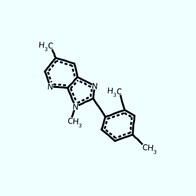 Cc1ccc(-c2nc3cc(C)cnc3n2C)c(C)c1